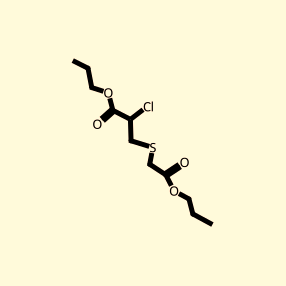 CCCOC(=O)CSCC(Cl)C(=O)OCCC